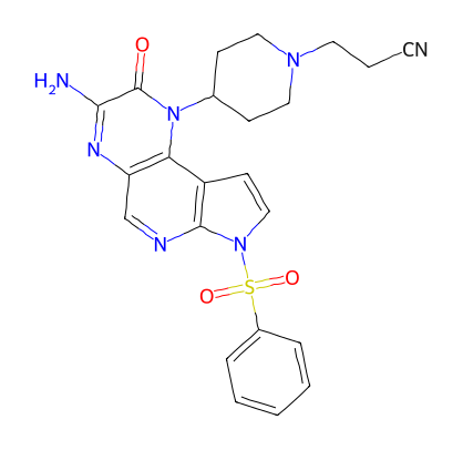 N#CCCN1CCC(n2c(=O)c(N)nc3cnc4c(ccn4S(=O)(=O)c4ccccc4)c32)CC1